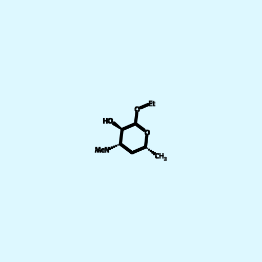 CCOC1O[C@H](C)C[C@H](NC)[C@H]1O